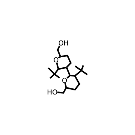 CC(C)(C)C1CCC(CO)OC1C1CCC(CO)OC1C(C)(C)C